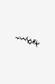 CCOCCCN(C)[C@H]1CCN(C(=O)OC(C)(C)C)C1